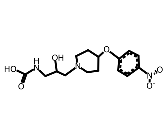 O=C(O)NCC(O)CN1CCC(Oc2ccc([N+](=O)[O-])cc2)CC1